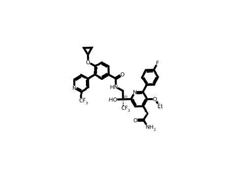 CCOc1c(CC(N)=O)cc([C@@](O)(CNC(=O)c2ccc(OC3CC3)c(-c3ccnc(C(F)(F)F)c3)c2)C(F)(F)F)nc1-c1ccc(F)cc1